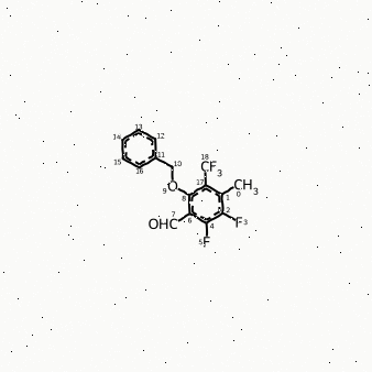 Cc1c(F)c(F)c(C=O)c(OCc2ccccc2)c1C(F)(F)F